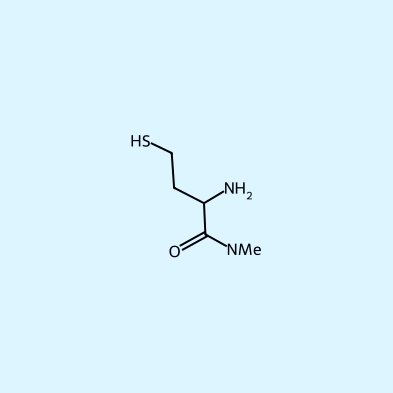 CNC(=O)C(N)CCS